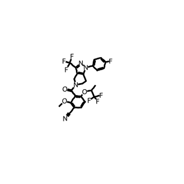 COc1c(C#N)ccc(OC(C)C(F)(F)F)c1C(=O)N1CCc2c(c(C(F)(F)F)nn2-c2ccc(F)cc2)C1